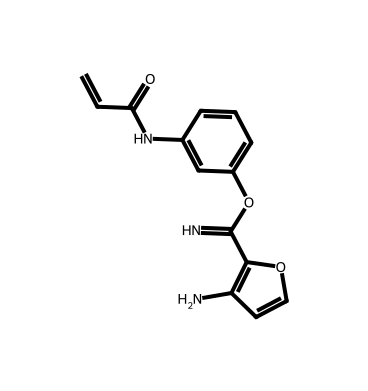 C=CC(=O)Nc1cccc(OC(=N)c2occc2N)c1